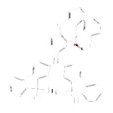 CC1(C)c2ccccc2-c2ccc(N(c3ccc4c(c3)C(C)(C)c3ccccc3-4)c3ccc4c(c3)C3(c5ccccc5Oc5ccccc53)c3ccccc3O4)cc21